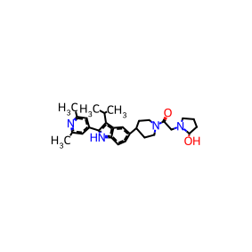 Cc1cc(-c2[nH]c3ccc(C4CCN(C(=O)CN5CCCC5O)CC4)cc3c2C(C)C)cc(C)n1